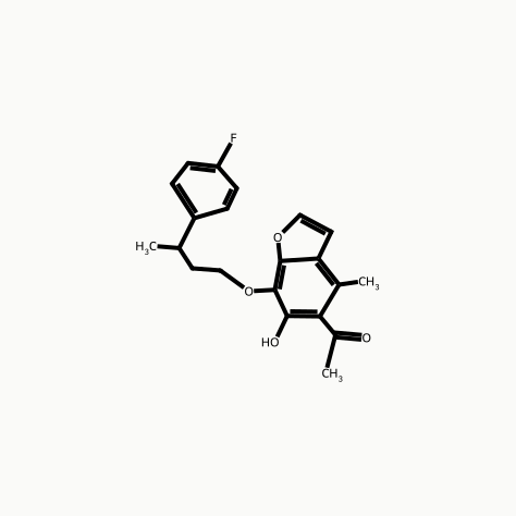 CC(=O)c1c(O)c(OCCC(C)c2ccc(F)cc2)c2occc2c1C